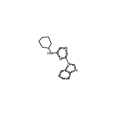 c1ccc2c(c1)ncn2-c1cncc(NC2CCCCC2)n1